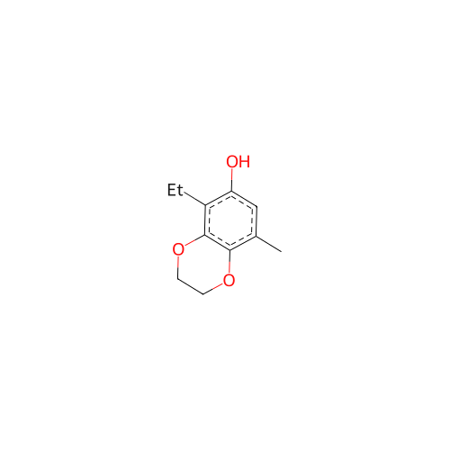 CCc1c(O)cc(C)c2c1OCCO2